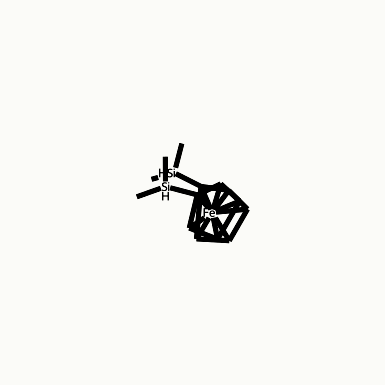 C[SiH](C)[C]12[CH]3[CH]4[CH]5[CH]1[Fe]45321678[CH]2[CH]1[CH]6[C]7([SiH](C)C)[CH]28